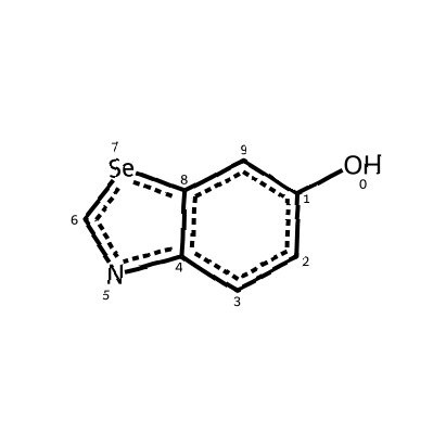 Oc1ccc2nc[se]c2c1